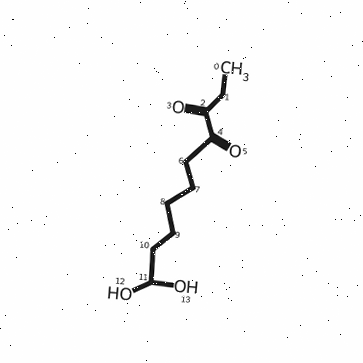 CCC(=O)C(=O)CCCCCC(O)O